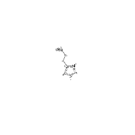 CC(C)(C)CCc1cscn1